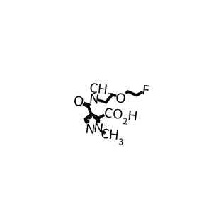 CN(CCOCCF)C(=O)c1cnn(C)c1C(=O)O